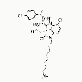 CC(c1ccc(Cl)cc1)n1nnc2c1NC(=O)C[C@]21C(=O)N(CCCCCCCCN(C)C)c2ccc(Cl)cc21